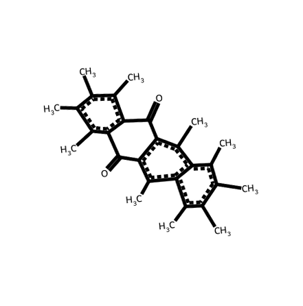 Cc1c(C)c(C)c2c(c1C)C(=O)c1c(c(C)c3c(C)c(C)c(C)c(C)c3c1C)C2=O